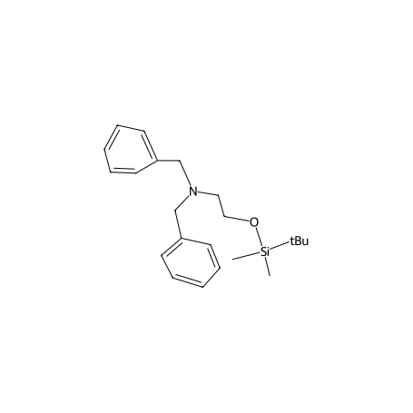 CC(C)(C)[Si](C)(C)OCCN(Cc1ccccc1)Cc1ccccc1